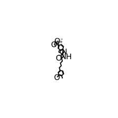 COc1cc(CCCCC(=O)Nc2nc3ccc([N+](=O)[O-])cc3s2)ccc1C